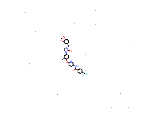 Cc1cc(N2CCN(Cc3ccc4c(c3)OCO4)C2=O)ccc1Oc1ccc(NC(=O)c2ccc(C(F)(F)F)cc2)cn1